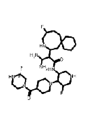 C[C@@H]1CN(C(=O)C2CCN(C3C(F)CNCC3NC(=O)C(C(N)N)C3CC4(CCCCC4)CCC(F)CN3)CC2)CCN1